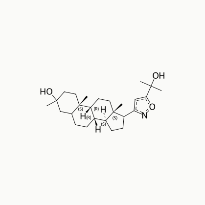 CC1(O)CC[C@@]2(C)C(CC[C@@H]3[C@H]2CC[C@]2(C)C(c4cc(C(C)(C)O)on4)CC[C@@H]32)C1